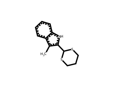 Cc1c(C2SCCCS2)[nH]c2ccccc12